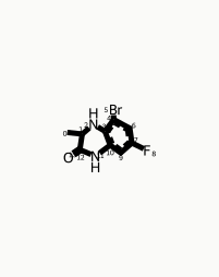 CC1Nc2c(Br)cc(F)cc2NC1=O